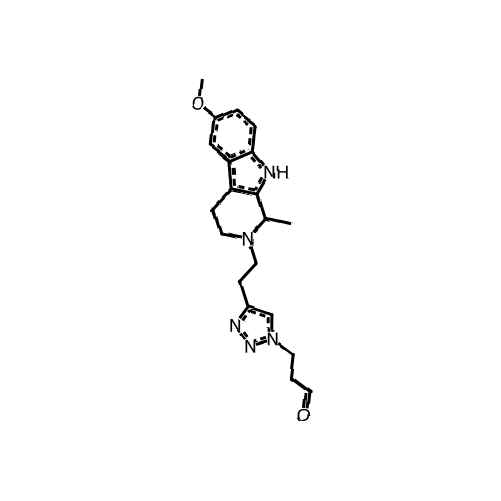 COc1ccc2[nH]c3c(c2c1)CCN(CCc1cn(CCC=O)nn1)C3C